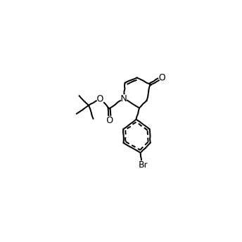 CC(C)(C)OC(=O)N1C=CC(=O)CC1c1ccc(Br)cc1